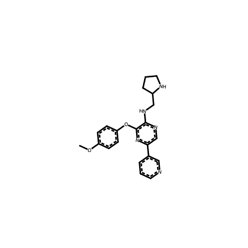 COc1ccc(Oc2nc(-c3cccnc3)cnc2NCC2CCCN2)cc1